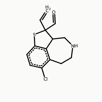 C=CC1(C=O)Sc2ccc(Cl)c3c2C1CNCC3